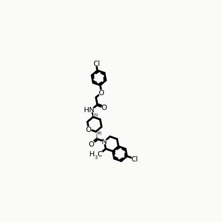 CC1c2ccc(Cl)cc2CCN1C(=O)[C@H]1CC[C@H](NC(=O)COc2ccc(Cl)cc2)CO1